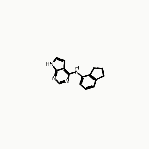 c1cc2c(c(Nc3ncnc4[nH]ccc34)c1)CCC2